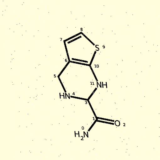 NC(=O)C1NCc2ccsc2N1